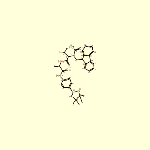 CC(NC(=O)C(C(C)C)N(CC1c2ccccc2-c2ccccc21)C(=O)O)C(=O)Nc1ccc(B2OC(C)(C)C(C)(C)O2)cc1